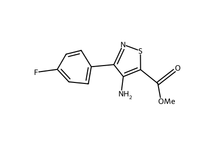 COC(=O)c1snc(-c2ccc(F)cc2)c1N